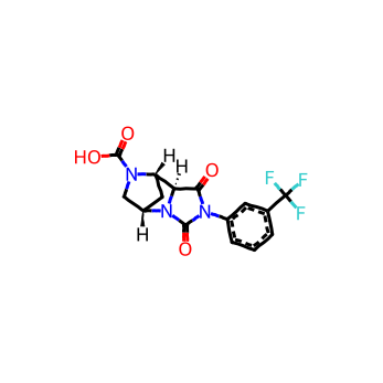 O=C1[C@@H]2[C@@H]3C[C@@H](CN3C(=O)O)N2C(=O)N1c1cccc(C(F)(F)F)c1